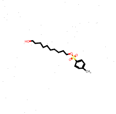 Cc1ccc(S(=O)(=O)OCCCCCCCCCCO)cc1